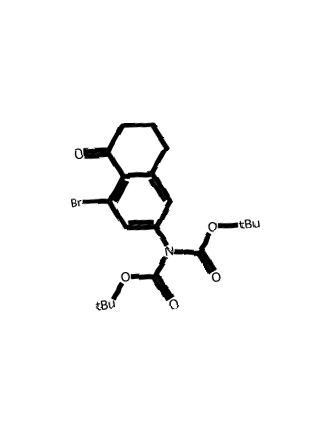 CC(C)(C)OC(=O)N(C(=O)OC(C)(C)C)c1cc(Br)c2c(c1)CCCC2=O